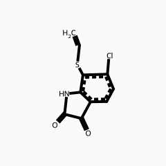 C=CSc1c(Cl)ccc2c1NC(=O)C2=O